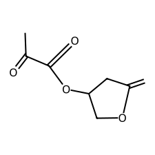 C=C1CC(OC(=O)C(C)=O)CO1